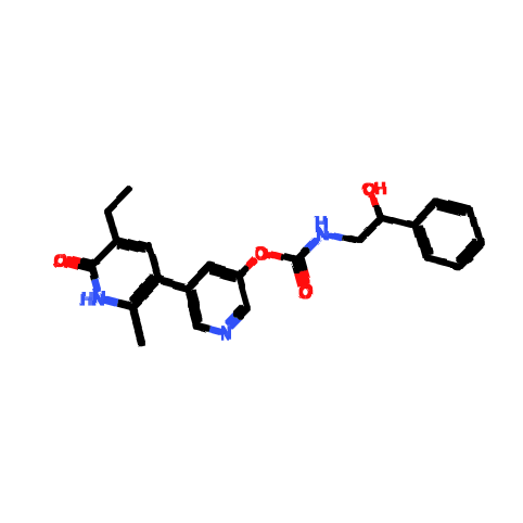 CCc1cc(-c2cncc(OC(=O)NCC(O)c3ccccc3)c2)c(C)[nH]c1=O